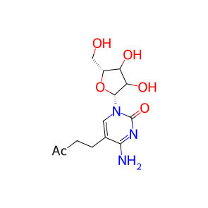 CC(=O)CCc1cn([C@@H]2O[C@H](CO)C(O)C2O)c(=O)nc1N